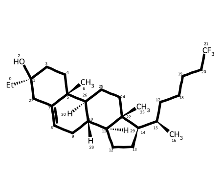 CC[C@]1(O)CC[C@@]2(C)C(=CC[C@H]3[C@@H]4CC[C@H]([C@H](C)CCCCC(F)(F)F)[C@@]4(C)CC[C@@H]32)C1